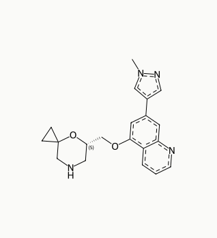 Cn1cc(-c2cc(OC[C@@H]3CNCC4(CC4)O3)c3cccnc3c2)cn1